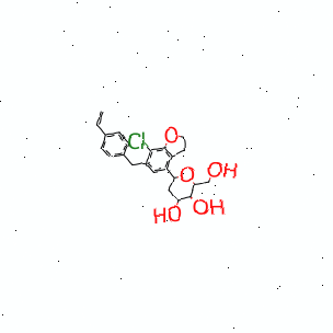 C=Cc1ccc(Cc2cc(C3CC(O)[C@H](O)C(CO)O3)c3c(c2Cl)OCC3)cc1